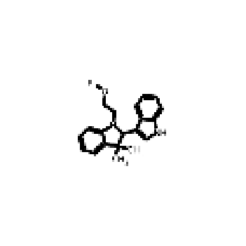 CCOCCN1c2ccccc2C(C)(C)C1c1c[nH]c2ccccc12